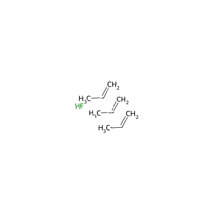 C=CC.C=CC.C=CC.F